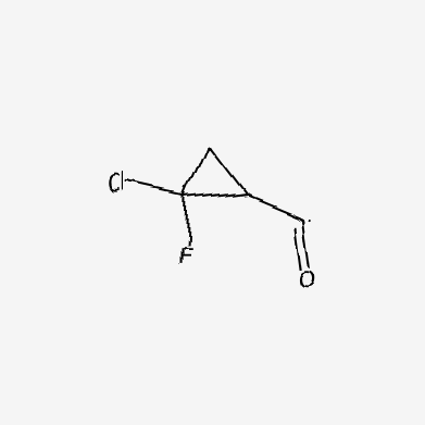 O=[C]C1CC1(F)Cl